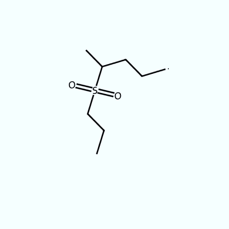 [CH2]CCC(C)S(=O)(=O)CCC